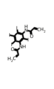 C=CC(=O)Nc1c(I)c(I)c(I)c(NC(=O)C=C)c1I